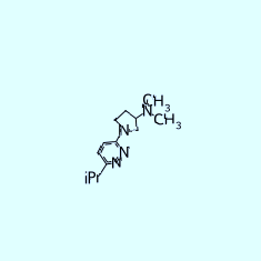 CC(C)c1ccc(N2CCC(N(C)C)C2)nn1